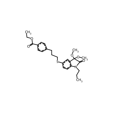 CCCN1C(=O)C(OC)(OC)c2cc(SCCCc3ccc(C(=O)OCC)cc3)ccc21